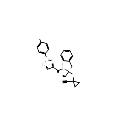 N#CC1(N[C@@](C=O)(Cc2ccccc2)NC(=O)c2cnn(-c3ccc(F)cc3)n2)CC1